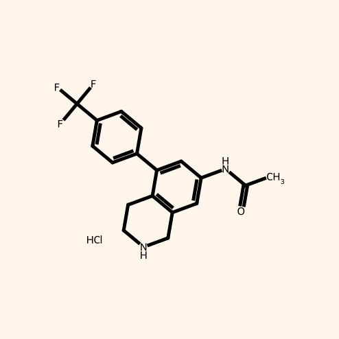 CC(=O)Nc1cc2c(c(-c3ccc(C(F)(F)F)cc3)c1)CCNC2.Cl